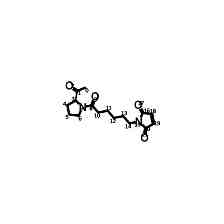 CC(=O)[C@@H]1CCCN1C(=O)CCCCCN1C(=O)C=CC1=O